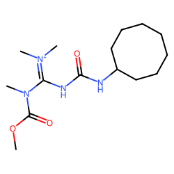 COC(=O)N(C)C(NC(=O)NC1CCCCCCC1)=[N+](C)C